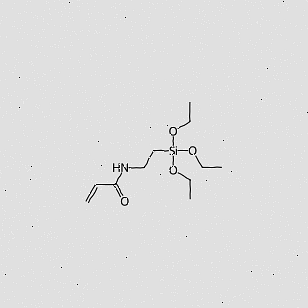 C=CC(=O)NCC[Si](OCC)(OCC)OCC